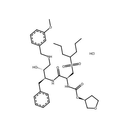 CCCC(CCC)S(=O)(=O)C[C@@H](NC(=O)O[C@H]1CCOC1)C(=O)N[C@@H](Cc1ccccc1)[C@H](O)CNCc1cccc(OC)c1.Cl